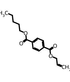 C=CCOC(=O)c1ccc(C(=O)OCCCCC)cc1